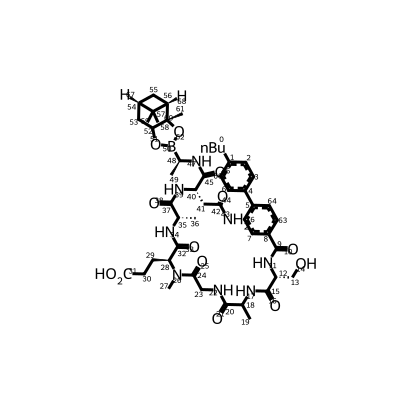 CCCCc1ccc(-c2ccc(C(=O)N[C@H](CO)C(=O)NC(C)C(=O)NCC(=O)N(C)[C@@H](CCC(=O)O)C(=O)N[C@@H](C)C(=O)N[C@@H](CC(N)=O)C(=O)N[C@@H](C)B3OC4C[C@@H]5C[C@@H](C5(C)C)[C@]4(C)O3)cc2)cc1